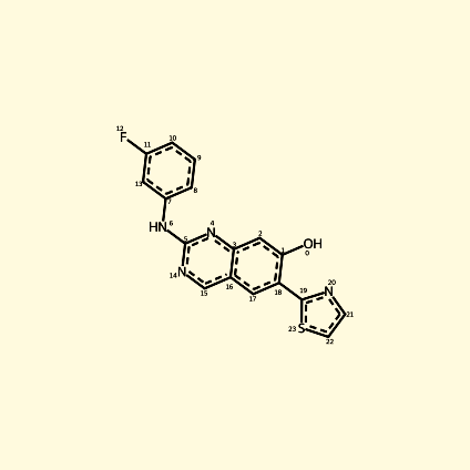 Oc1cc2nc(Nc3cccc(F)c3)ncc2cc1-c1nccs1